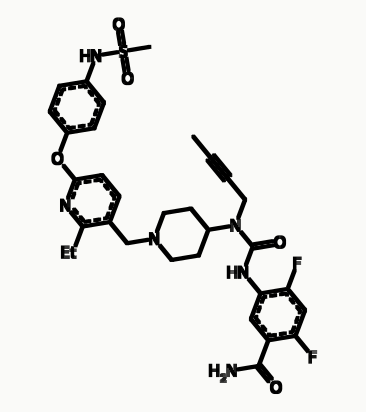 CC#CCN(C(=O)Nc1cc(C(N)=O)c(F)cc1F)C1CCN(Cc2ccc(Oc3ccc(NS(C)(=O)=O)cc3)nc2CC)CC1